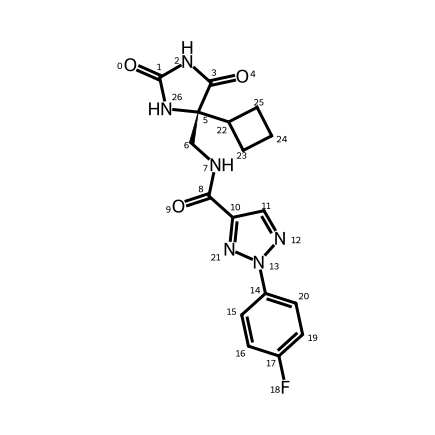 O=C1NC(=O)[C@](CNC(=O)c2cnn(-c3ccc(F)cc3)n2)(C2CCC2)N1